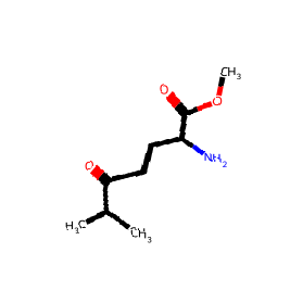 COC(=O)C(N)CCC(=O)C(C)C